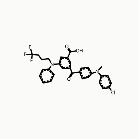 CN(c1ccc(Cl)cc1)c1ccc(C(=O)c2cc(C(=O)O)cc(N(CCCC(F)(F)F)c3ccccc3)c2)cc1